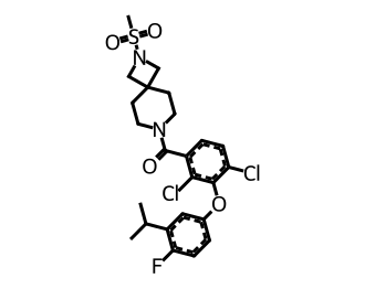 CC(C)c1cc(Oc2c(Cl)ccc(C(=O)N3CCC4(CC3)CN(S(C)(=O)=O)C4)c2Cl)ccc1F